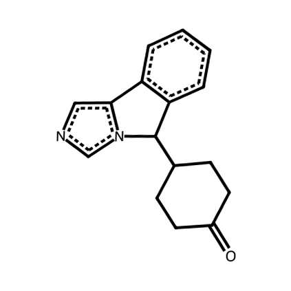 O=C1CCC(C2c3ccccc3-c3cncn32)CC1